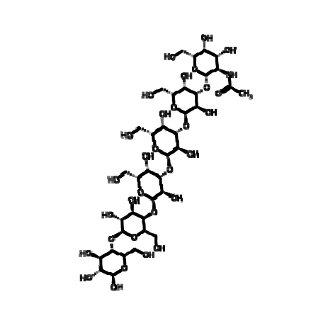 CC(=O)N[C@H]1[C@H](O[C@H]2[C@@H](O)[C@@H](CO)O[C@H](O[C@H]3[C@@H](O)[C@@H](CO)O[C@H](O[C@H]4[C@@H](O)[C@@H](CO)O[C@H](O[C@@H]5[C@H](O)[C@@H](O)[C@H](O[C@H]6[C@H](O)[C@@H](O)[C@H](O)O[C@@H]6CO)O[C@@H]5CO)[C@@H]4O)[C@@H]3O)[C@@H]2O)O[C@H](CO)[C@H](O)[C@@H]1O